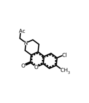 CC(=O)CN1CCc2c(c(=O)oc3cc(C)c(Cl)cc23)C1